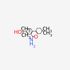 CC1(C)CC=C(c2ccc(C(C)(C)O)cc2C(N)=O)CC1